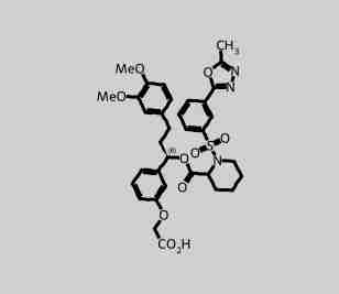 COc1ccc(CC[C@@H](OC(=O)C2CCCCN2S(=O)(=O)c2cccc(-c3nnc(C)o3)c2)c2cccc(OCC(=O)O)c2)cc1OC